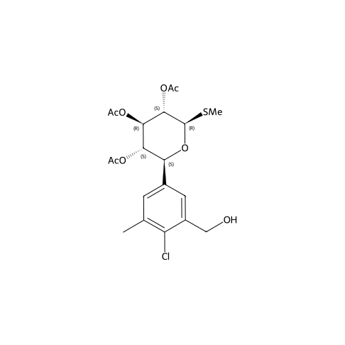 CS[C@H]1O[C@@H](c2cc(C)c(Cl)c(CO)c2)[C@H](OC(C)=O)[C@@H](OC(C)=O)[C@@H]1OC(C)=O